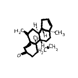 C=C.C=C1C[C@H]2[C@@H]3CC=C[C@@]3(C)CC[C@@H]2[C@@]2(C)CCC(=O)C=C12